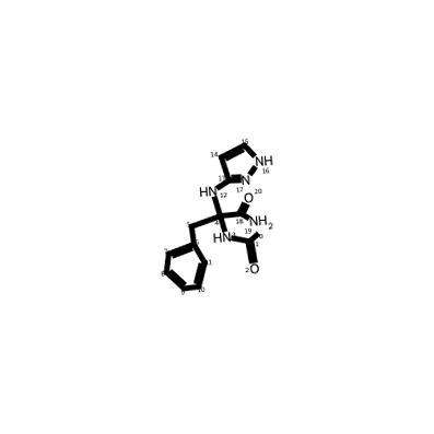 CC(=O)NC(Cc1ccccc1)(Nc1cc[nH]n1)C(N)=O